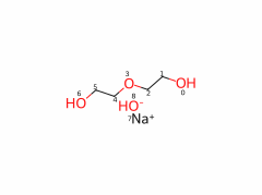 OCCOCCO.[Na+].[OH-]